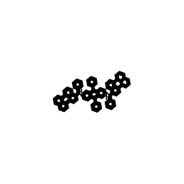 C1=CC2C=CC=C3c4ccc(N(c5ccccc5)c5ccc6c(-c7ccccc7)c7cc(N(c8ccccc8)c8ccc9c%10cccc%11cccc(c%12cccc8c%129)c%11%10)ccc7c(-c7ccccc7)c6c5)c5cccc(c45)C(=C1)C32